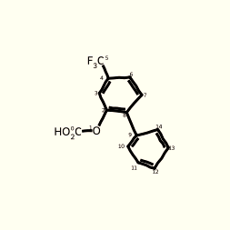 O=C(O)Oc1cc(C(F)(F)F)ccc1-c1ccccc1